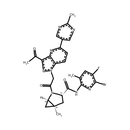 CC(=O)c1nn(CC(=O)N2[C@H](C(=O)Nc3nc(Br)c(F)cc3C)C[C@@]3(C)C[C@@H]23)c2ccc(-c3cnc(C)nc3)nc12